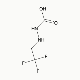 O=C(O)NNCC(F)(F)F